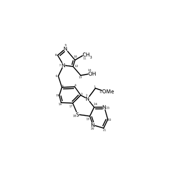 COCN1c2cc(Cn3cnc(C)c3CO)ccc2Sc2nccnc21